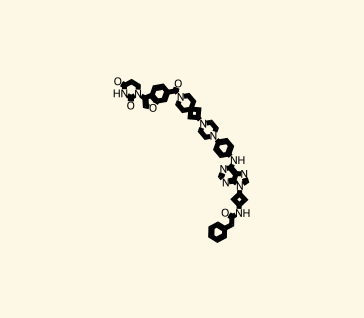 O=C1CCN(c2coc3cc(C(=O)N4CCC5(CC4)CC(N4CCN(c6ccc(Nc7ncnc8c7ncn8C7CC(NC(=O)Cc8ccccc8)C7)cc6)CC4)C5)ccc23)C(=O)N1